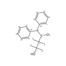 CC(C)(O)C(C)(C)[S+]([O-])C(c1ccccc1)c1ccccc1